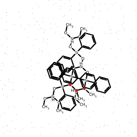 CO[SiH](OC)O[Si](O[SiH](C)O[Si](O[SiH](O[Si](O[SiH](OC)OC)(c1ccccc1)c1ccccc1)O[Si](O[SiH](OC)OC)(c1ccccc1)c1ccccc1)(c1ccccc1)c1ccccc1)(c1ccccc1)c1ccccc1